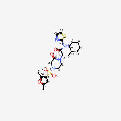 Cc1cc(S(=O)(=O)N2CCN([C@@H](CC3CCCCC3)C(=O)Nc3nccs3)C(=O)C2)c(C)o1